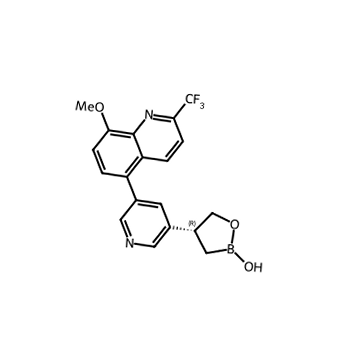 COc1ccc(-c2cncc([C@@H]3COB(O)C3)c2)c2ccc(C(F)(F)F)nc12